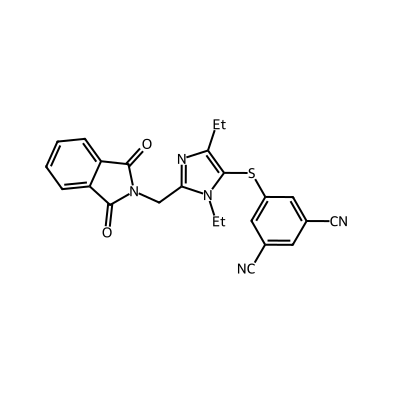 CCc1nc(CN2C(=O)c3ccccc3C2=O)n(CC)c1Sc1cc(C#N)cc(C#N)c1